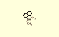 CCNc1cccc2c1=C(N)CCC=2